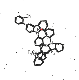 N#Cc1ccccc1-c1ccc2c(c1)c1ccccc1n2-c1ccc(-c2c(C(F)(F)F)cccc2C(F)(F)F)cc1-c1c(C#N)cccc1-n1c2ccccc2c2cc(-c3ccccc3C#N)ccc21